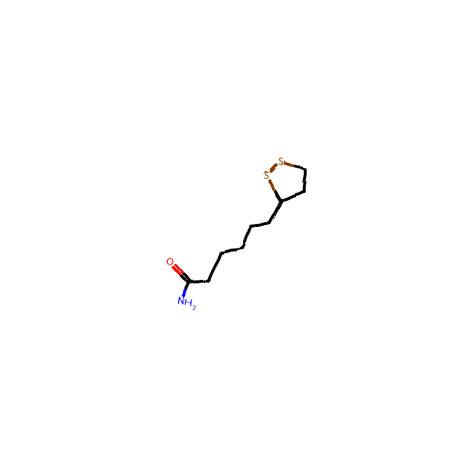 NC(=O)CCCCCC1CCSS1